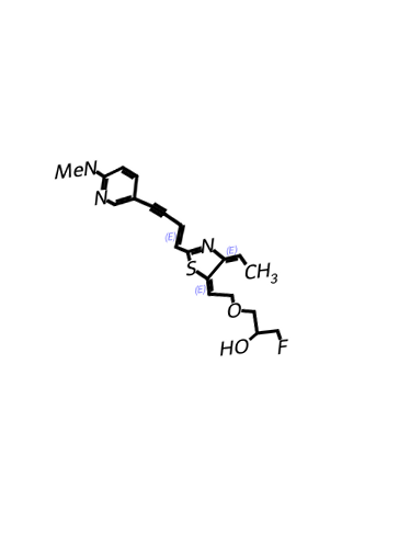 C/C=c1/nc(/C=C/C#Cc2ccc(NC)nc2)s/c1=C/COCC(O)CF